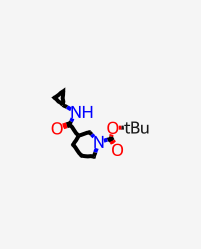 CC(C)(C)OC(=O)N1CCCC(C(=O)NC2CC2)C1